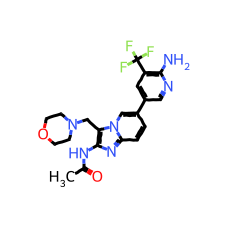 CC(=O)Nc1nc2ccc(-c3cnc(N)c(C(F)(F)F)c3)cn2c1CN1CCOCC1